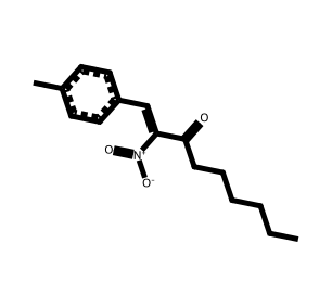 CCCCCCC(=O)C(=Cc1ccc(C)cc1)[N+](=O)[O-]